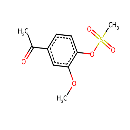 COc1cc(C(C)=O)ccc1OS(C)(=O)=O